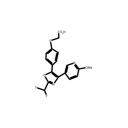 COc1ccc(-c2nc(C(F)F)oc2-c2ccc(OCC(=O)O)cc2)cn1